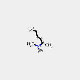 CC(C)CCC[C@H](C)N(C)C(C)C